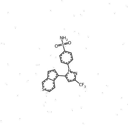 NS(=O)(=O)c1ccc(-n2nc(C(F)(F)F)cc2-c2ccc3csccc2-3)cc1